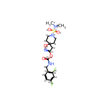 CN(C)S(=O)(=O)N1CCC2(CC1)CC(OC(=O)NCc1ccc(F)cc1F)=NO2